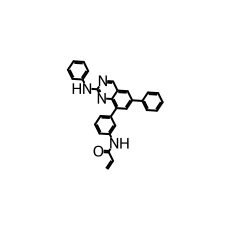 C=CC(=O)Nc1cccc(-c2cc(-c3ccccc3)cc3cnc(Nc4ccccc4)nc23)c1